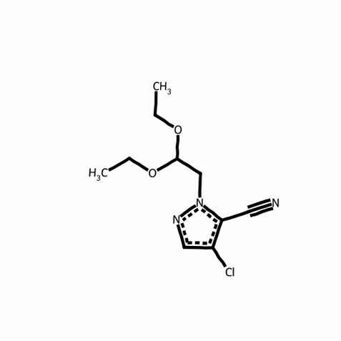 CCOC(Cn1ncc(Cl)c1C#N)OCC